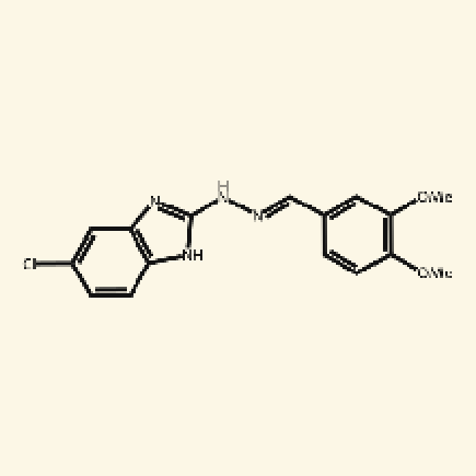 COc1ccc(/C=N/Nc2nc3cc(Cl)ccc3[nH]2)cc1OC